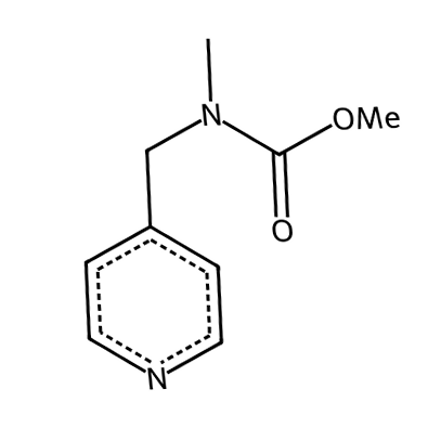 COC(=O)N(C)Cc1ccncc1